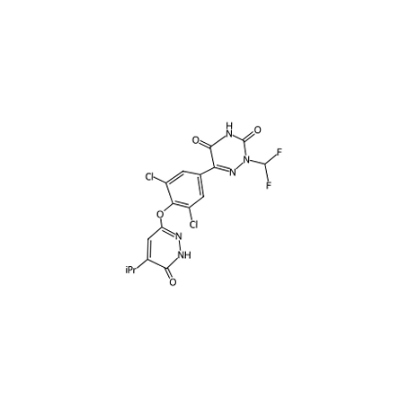 CC(C)c1cc(Oc2c(Cl)cc(-c3nn(C(F)F)c(=O)[nH]c3=O)cc2Cl)n[nH]c1=O